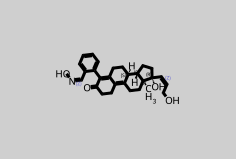 C[C@]12CCC3=C4CCC(=O)C(c5ccccc5/C=N\O)=C4CC[C@H]3[C@@H]1CC[C@@]2(O)/C=C\CO